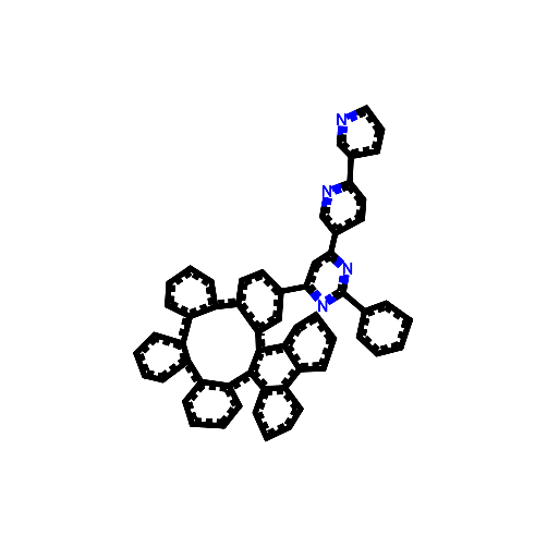 c1ccc(-c2nc(-c3ccc(-c4cccnc4)nc3)cc(-c3ccc4c5ccccc5c5ccccc5c5ccccc5c5c6ccccc6c6ccccc6c5c4c3)n2)cc1